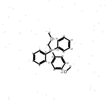 COC[P+](c1ccccc1)(c1ccccc1)c1ccccc1.C[O-]